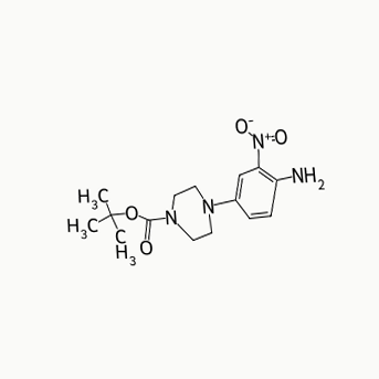 CC(C)(C)OC(=O)N1CCN(c2ccc(N)c([N+](=O)[O-])c2)CC1